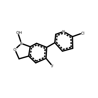 OB1OCc2cc(F)c(-c3ccc(Cl)nc3)cc21